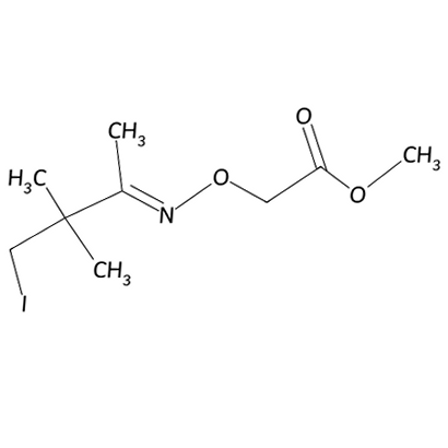 COC(=O)CO/N=C(\C)C(C)(C)CI